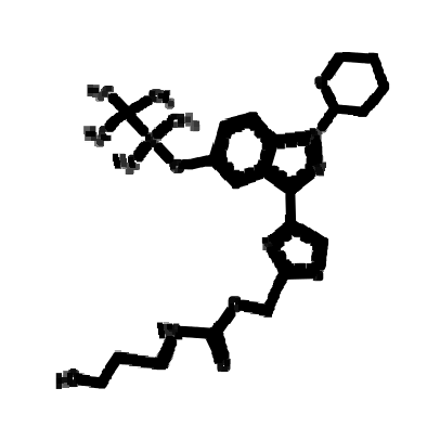 CC(C)(C)[Si](C)(C)Oc1ccc2c(c1)c(-c1csc(COC(=O)NCCCO)n1)nn2C1CCCCO1